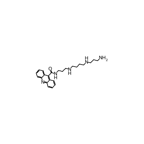 NCCCNCCCCNCCCNC(=O)c1c2ccccc2nc2ccccc12